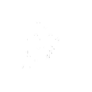 CC(=O)OCC1O[C@@H]([Si](C)(C)C(C)(C)C(C)C)C(N=[N+]=[N-])[C@@H](C)[C@@H]1O[C@@H]1OC2COC(c3ccccc3)O[C@H]2[C@H](C)C1OC(C)=O